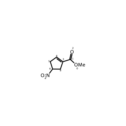 COC(=O)C1=CCC([N+](=O)[O-])C1